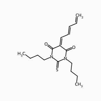 C=CC=CC=C1C(=O)N(CCCC)C(=S)N(CCCC)C1=O